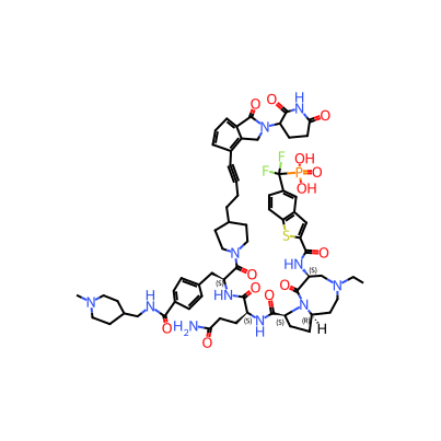 CCN1CC[C@H]2CC[C@@H](C(=O)N[C@@H](CCC(N)=O)C(=O)N[C@@H](Cc3ccc(C(=O)NCC4CCN(C)CC4)cc3)C(=O)N3CCC(CCC#Cc4cccc5c4CN(C4CCC(=O)NC4=O)C5=O)CC3)N2C(=O)[C@@H](NC(=O)c2cc3cc(C(F)(F)P(=O)(O)O)ccc3s2)C1